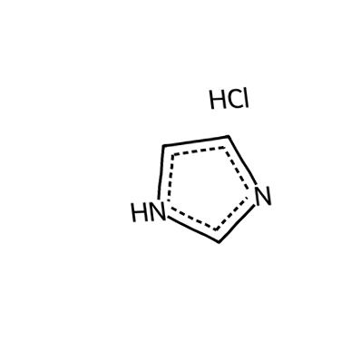 Cl.c1c[nH]cn1